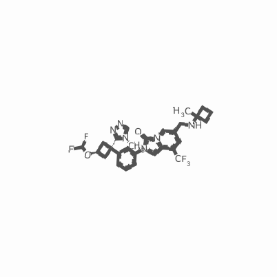 Cn1cnnc1[C@]1(c2cccc(-n3cc4c(C(F)(F)F)cc(CNC5(C)CCC5)cn4c3=O)c2)C[C@@H](OC(F)F)C1